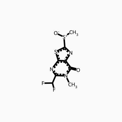 Cn1c(C(F)F)nc2sc([S+](C)[O-])nc2c1=O